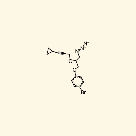 [N-]=[N+]=NCC(COc1ccc(Br)cc1)OCC#CC1CC1